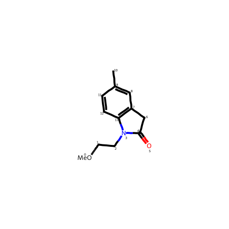 COCCN1C(=O)Cc2cc(C)ccc21